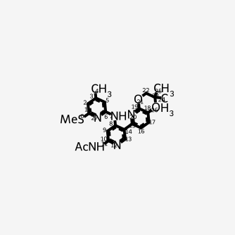 CSc1cc(C)cc(Nc2cc(NC(C)=O)ncc2-c2ccc3c(n2)OCC(C)(C)O3)n1